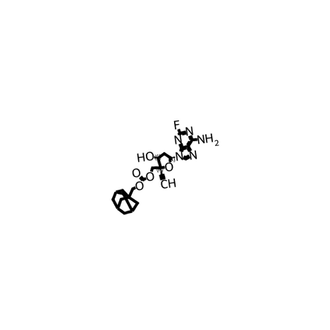 C#C[C@]1(COC(=O)OCC23CC4CC(CC(C4)C2)C3)O[C@@H](n2cnc3c(N)nc(F)nc32)C[C@@H]1O